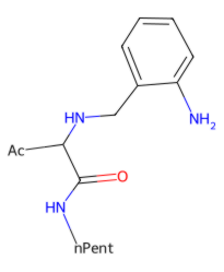 CCCCCNC(=O)C(NCc1ccccc1N)C(C)=O